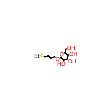 CCSCC=CCOC1OC(CO)C(O)C(O)C1O